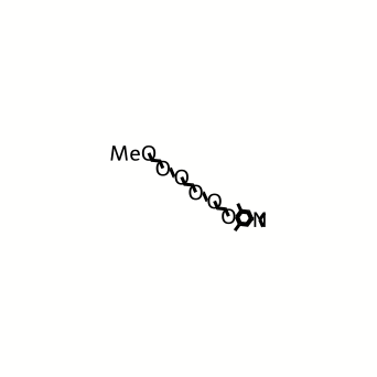 COCCOCCOCCOCCOCCOc1c(C)cc(N(C)C)cc1C